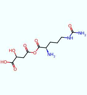 NC(=O)NCCC[C@@H](N)C(=O)OC(=O)CC(O)C(=O)O